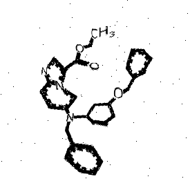 CCOC(=O)c1cnc2ccc(N(Cc3ccccc3)C3CCCC(OCc4ccccc4)C3)cn12